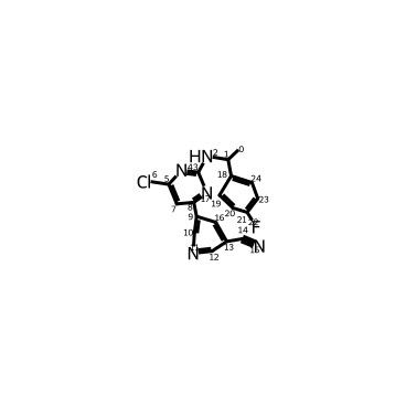 CC(Nc1nc(Cl)cc(-c2cncc(C#N)c2)n1)c1ccc(F)cc1